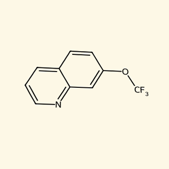 FC(F)(F)Oc1ccc2cccnc2c1